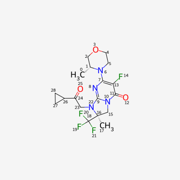 C[C@@H]1COCCN1c1nc2n(c(=O)c1F)C[C@@](C)(C(F)(F)F)N2CC(=O)C1CC1